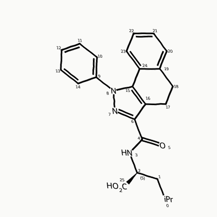 CC(C)C[C@H](NC(=O)c1nn(-c2ccccc2)c2c1CCc1ccccc1-2)C(=O)O